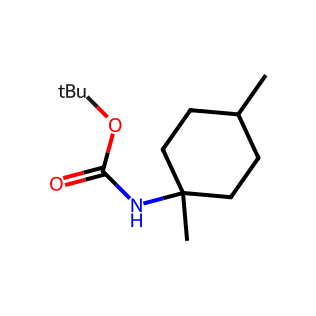 CC1CCC(C)(NC(=O)OC(C)(C)C)CC1